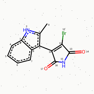 Cc1[nH]c2ccccc2c1C1=C(Br)C(=O)NC1=O